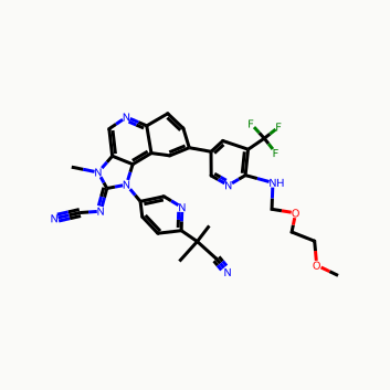 COCCOCNc1ncc(-c2ccc3ncc4c(c3c2)n(-c2ccc(C(C)(C)C#N)nc2)c(=NC#N)n4C)cc1C(F)(F)F